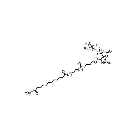 CC(=O)N[C@H]1[C@H](OCCCCC(=O)NCCCNC(=O)CCCCCCCCCCC(=O)OC(C)(C)C)O[C@H](CO[Si](C)(C)C(C)(C)C)[C@@H]2OC(=O)O[C@H]12